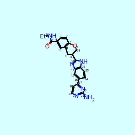 CCNC(=O)c1ccc2c(c1)CC(c1nc3cc(-c4ccnc(N)n4)ccc3[nH]1)CO2